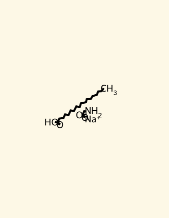 CCCCCCCCCCCCCCCCCC(=O)O.NCC(=O)[O-].[Na+]